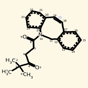 CC(C)(C)C(=O)CCC(=O)N1Cc2ccccc2/C=C\c2ccccc21